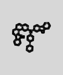 c1ccc(-c2ccc(N(c3ccc4c(c3)oc3ccccc34)c3ccc4ccc5ccc6c7ccccc7[se]c6c5c4c3)cc2)cc1